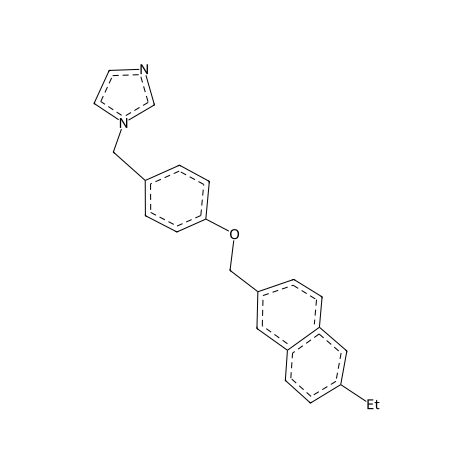 CCc1ccc2cc(COc3ccc(Cn4ccnc4)cc3)ccc2c1